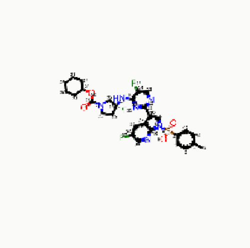 Cc1ccc(S(=O)(=O)n2cc(-c3ncc(F)c(N[C@@]4(F)CCN(C(=O)OC5CCCCC5)C4)n3)c3cc(F)cnc32)cc1